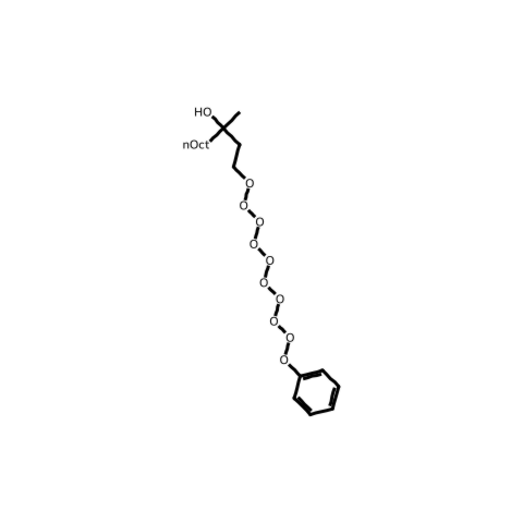 CCCCCCCCC(C)(O)CCOOOOOOOOOOc1ccccc1